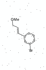 COCC=Cc1cccc(Br)c1